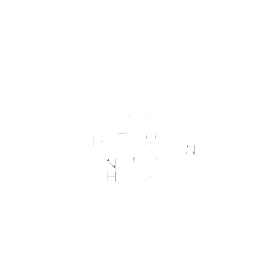 N#Cc1ccc2c3c1O[C@@H]1C4(CC[C@@H]5[C@H](C2)NCC[C@]351)OCCO4